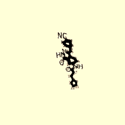 N#Cc1ccc(Cc2n[nH]c(=O)c3cc(NC(=O)CCC4CCCC4)ccc23)cc1